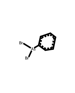 Br[As](Br)c1ccccc1